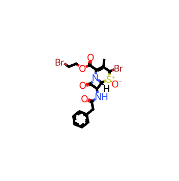 CC1=C(C(=O)OCCBr)N2C(=O)C(NC(=O)Cc3ccccc3)[C@H]2[S+]([O-])C1Br